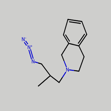 CC(CN=[N+]=[N-])CN1CCc2ccccc2C1